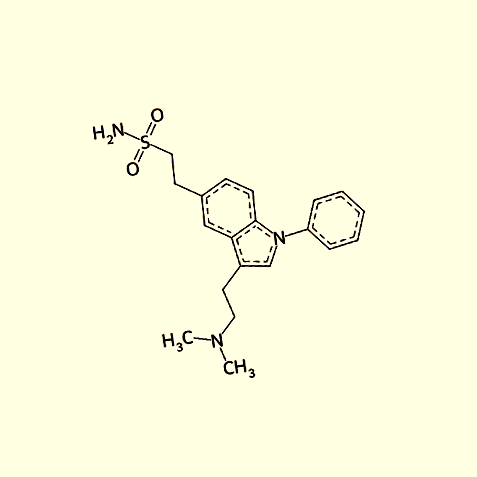 CN(C)CCc1cn(-c2ccccc2)c2ccc(CCS(N)(=O)=O)cc12